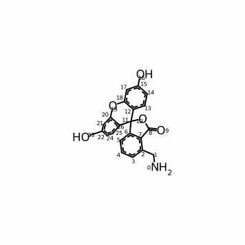 NCc1cccc2c1C(=O)OC21c2ccc(O)cc2Oc2cc(O)ccc21